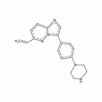 C=Cc1ccc2ncc(-c3ccc(N4CCNCC4)cc3)n2n1